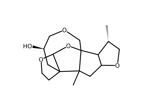 C[C@@H]1COC2CC3(C)C45CCOC4OC3(COC[C@H](O)C5)C21